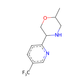 CC1CNC(c2ccc(C(F)(F)F)cn2)CO1